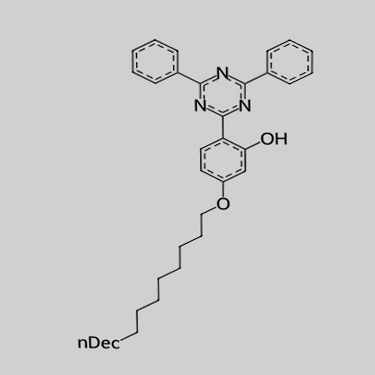 CCCCCCCCCCCCCCCCCCOc1ccc(-c2nc(-c3ccccc3)nc(-c3ccccc3)n2)c(O)c1